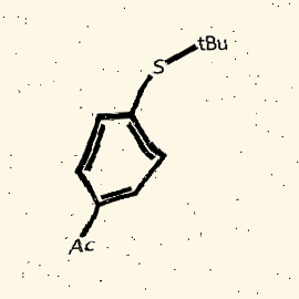 CC(=O)c1ccc(SC(C)(C)C)cc1